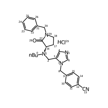 CCCCN(Cc1cncn1Cc1ccc(C#N)cc1)[C@@H]1CCN(Cc2ccccc2)C1=O.Cl